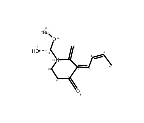 C=C1/C(=C\C=C/C)C(=O)CCN1[C@H](O)OC(C)(C)C